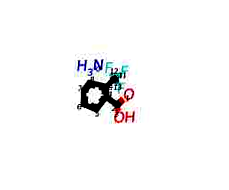 N.O=C(O)c1ccccc1C(F)(F)F